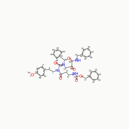 COc1ccc(CCN(C(=O)CCNC(=O)OCc2ccccc2)C(=O)N(CC(=O)C(=O)NCc2ccccc2)Cc2ccccc2)cc1